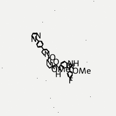 COc1cc(F)ccc1-c1n[nH]c2ccc(NC(=O)[C@]3(OC)CCN(CC(=O)N4CC=C(c5ccc(-c6ncccn6)cc5)CC4)C3)cc12